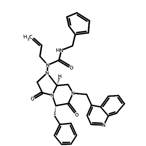 C=CCN(C(=O)NCc1ccccc1)N1CC(=O)N2[C@@H](Cc3ccccc3)C(=O)N(Cc3ccnc4ccccc34)C[C@@H]21